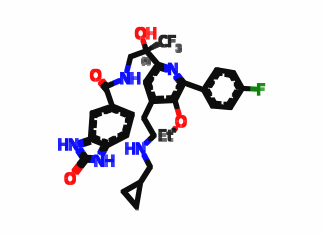 CCOc1c(CCNCC2CC2)cc([C@@](O)(CNC(=O)c2ccc3[nH]c(=O)[nH]c3c2)C(F)(F)F)nc1-c1ccc(F)cc1